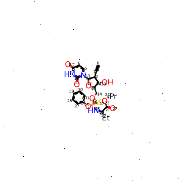 C#CC1[C@H](n2ccc(=O)[nH]c2=O)O[C@H](COP(=S)(N[C@@H](CC)C(=O)OC(C)C)Oc2ccccc2)[C@H]1O